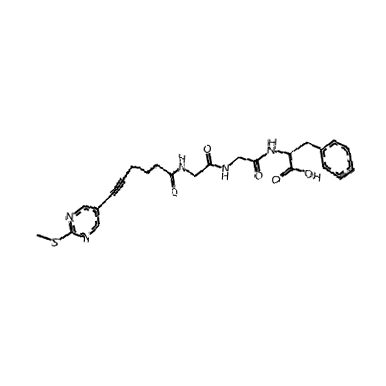 CSc1ncc(C#CCCCC(=O)NCC(=O)NCC(=O)N[C@@H](Cc2ccccc2)C(=O)O)cn1